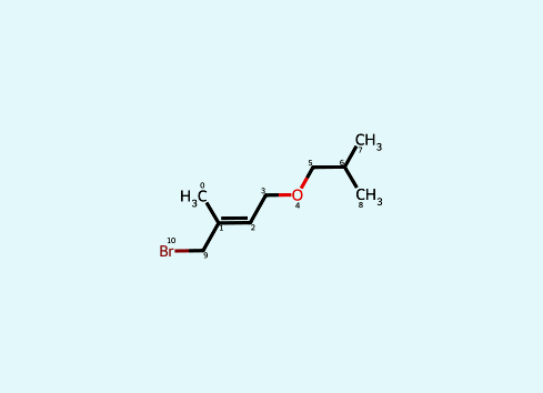 C/C(=C\COCC(C)C)CBr